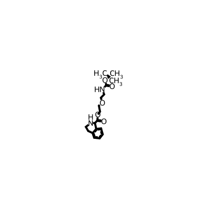 CC(C)(C)OC(=O)NCCOCCOC(=O)C1NCCc2ccccc21